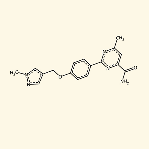 Cc1cc(C(N)=O)nc(-c2ccc(OCc3cnn(C)c3)cc2)n1